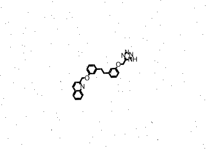 c1cc(CCc2cccc(OCc3nnn[nH]3)c2)cc(OCc2ccc3ccccc3n2)c1